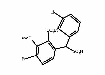 CCOC(=O)c1c(C(c2cccc(Cl)c2)S(=O)(=O)O)ccc(Br)c1OC